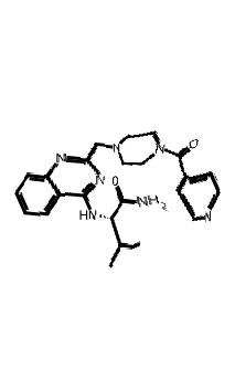 CC(C)[C@H](Nc1nc(CN2CCN(C(=O)c3ccncc3)CC2)nc2ccccc12)C(N)=O